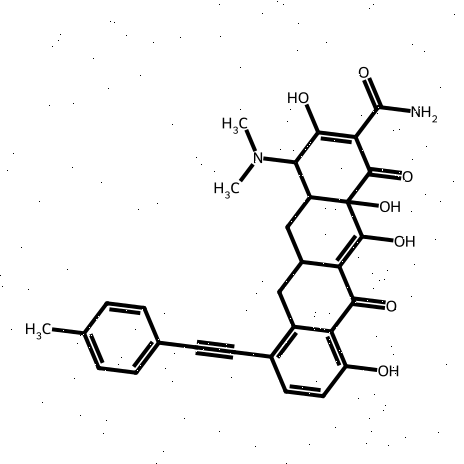 Cc1ccc(C#Cc2ccc(O)c3c2CC2CC4C(N(C)C)C(O)=C(C(N)=O)C(=O)C4(O)C(O)=C2C3=O)cc1